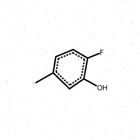 [CH2]c1ccc(F)c(O)c1